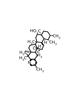 Cc1cnc2c(c1)C[C@]1(C)[C@H]3CC=C4[C@@H]5[C@@H](C)[C@H](C)CC[C@]5(C(=O)O)CC[C@@]4(C)[C@]3(C)CC[C@H]1C2(C)C